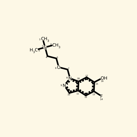 C[Si](C)(C)CCOCn1ncc2cc(F)c(O)cc21